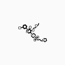 CCOCCOc1c(N2CCN(S(=O)(=O)CCCN3CCCC3)CC2)cnn(-c2cccc(Cl)c2)c1=O